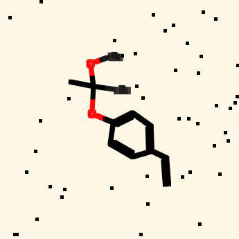 C=Cc1ccc(OC(C)(CCCC)OC(C)(C)C)cc1